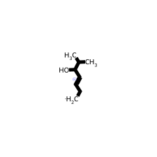 [CH2]C/C=C/C(O)C(C)C